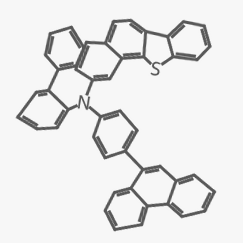 c1ccc(-c2ccccc2N(c2ccc(-c3cc4ccccc4c4ccccc34)cc2)c2ccc3ccc4c5ccccc5sc4c3c2)cc1